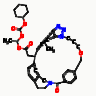 Cc1c2ccc3c1nnn3CCCOCc1ccc(cc1)C(=O)N1CCc3ccc(cc3C1)C2CC(=O)OC(C)OC(=O)OC1CCCCC1